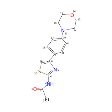 CCC(=O)Nc1nc(-c2ccc(N3CCOCC3)cc2)cs1